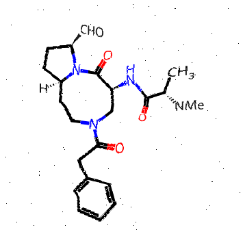 CN[C@@H](C)C(=O)N[C@H]1CN(C(=O)Cc2ccccc2)CC[C@H]2CC[C@@H](C=O)N2C1=O